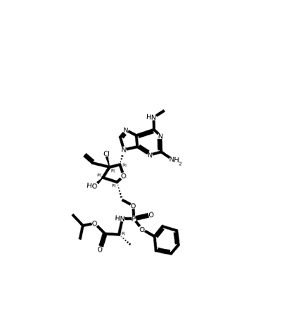 C=C[C@@]1(Cl)[C@H](O)[C@@H](COP(=O)(N[C@H](C)C(=O)OC(C)C)Oc2ccccc2)O[C@H]1n1cnc2c(NC)nc(N)nc21